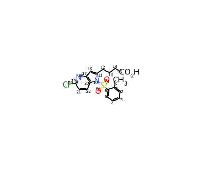 Cc1ccccc1S(=O)(=O)n1c(CCCC(=O)O)cc2nc(Cl)ccc21